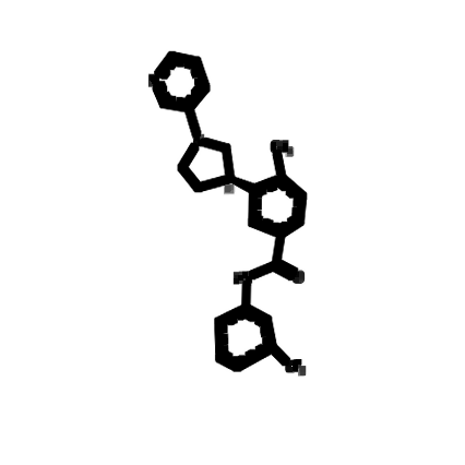 Cc1ccc(C(=O)Nc2cccc(C(F)(F)F)c2)cc1[C@H]1CCN(c2cccnc2)C1